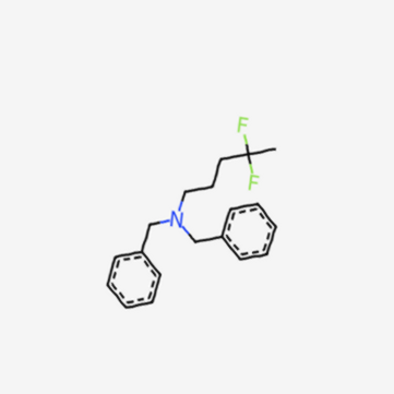 CC(F)(F)CCCN(Cc1ccccc1)Cc1ccccc1